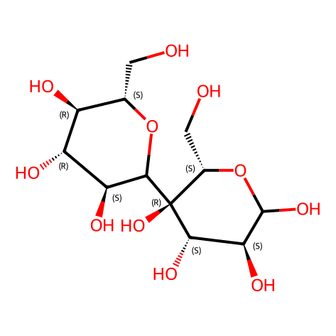 OC[C@@H]1OC([C@]2(O)[C@H](CO)OC(O)[C@@H](O)[C@@H]2O)[C@@H](O)[C@H](O)[C@H]1O